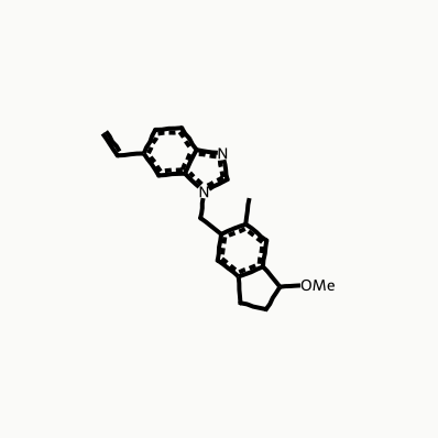 C=Cc1ccc2ncn(Cc3cc4c(cc3C)C(OC)CC4)c2c1